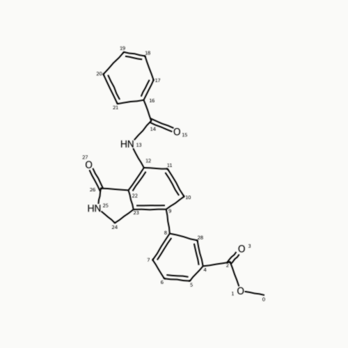 COC(=O)c1cccc(-c2ccc(NC(=O)c3ccccc3)c3c2CNC3=O)c1